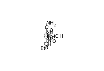 CCOc1ccc(CC(NC(=O)c2ccccc2)C(=O)NC(Cc2ccccc2)C(=O)NCc2ccc(CN)cc2)cc1.Cl